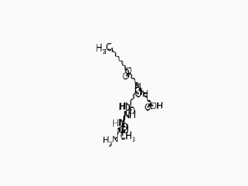 CCCCCCCCCCCOC(=O)CCCCCN(CCCCCCCC(=O)O)CC(O)CCCCNC(=O)CNCCNC(=O)CN(CCN)C(C)=O